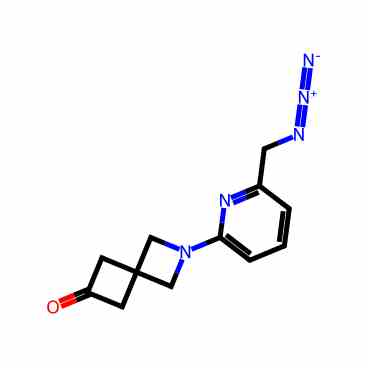 [N-]=[N+]=NCc1cccc(N2CC3(CC(=O)C3)C2)n1